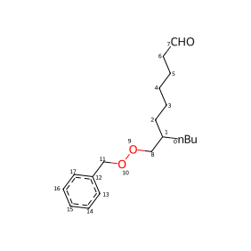 CCCCC(CCCCCC=O)COOCc1ccccc1